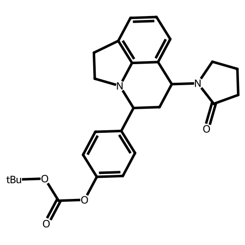 CC(C)(C)OC(=O)Oc1ccc(C2CC(N3CCCC3=O)c3cccc4c3N2CC4)cc1